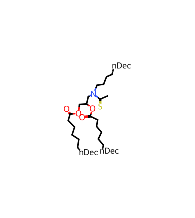 CCCCCCCCCCCCCCCC(=O)OCC(CN(CCCCCCCCCCCCCC)C(C)=S)OC(=O)CCCCCCCCCCCCCCC